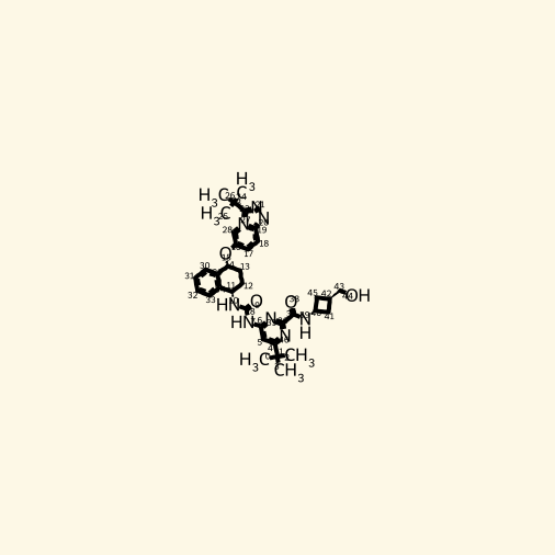 CC(C)(C)c1cc(NC(=O)N[C@H]2CC[C@@H](Oc3ccc4nnc(C(C)(C)C)n4c3)c3ccccc32)nc(C(=O)N[C@H]2C[C@H](CO)C2)n1